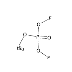 CC(C)(C)OP(=O)(OF)OF